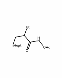 CCCCCCCCC(CC)C(=O)NOC(C)=O